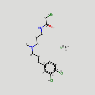 CN(CCCNC(=O)CBr)CCCc1ccc(Cl)c(Cl)c1.[Br-].[H+]